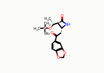 C[C@@H](O[Si](C)(C)C(C)(C)C)[C@H]1C(=O)N[C@@H]1CC(=O)c1ccc2c(c1)OCO2